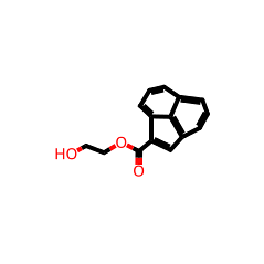 O=C(OCCO)C1=Cc2cccc3cccc1c23